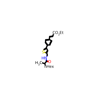 CCCCCCC(C)C(=O)NCc1cc(-c2ccc(C=CC(=O)OCC)cc2)cs1